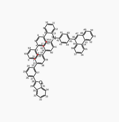 c1ccc(-c2ccc(-c3ccccc3N(c3ccc(-c4ccc(-c5cccc(-c6cc7ccccc7o6)c5)cc4)cc3)c3ccc(-c4cc5ccccc5c5ccccc45)cc3)cc2)cc1